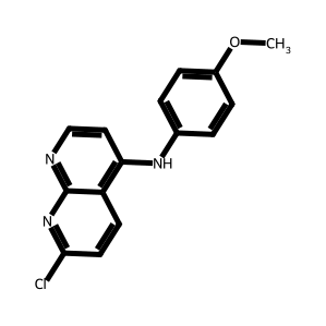 COc1ccc(Nc2ccnc3nc(Cl)ccc23)cc1